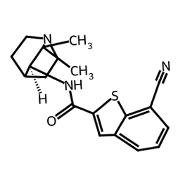 CC1(C)[C@@H](NC(=O)c2cc3cccc(C#N)c3s2)C2CCN1CC2